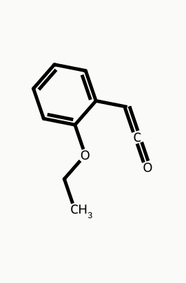 CCOc1ccccc1[C]=C=O